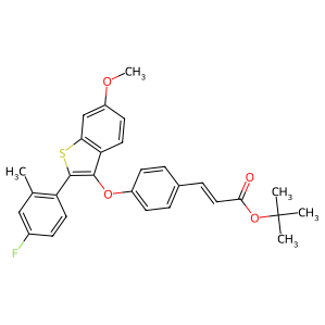 COc1ccc2c(Oc3ccc(C=CC(=O)OC(C)(C)C)cc3)c(-c3ccc(F)cc3C)sc2c1